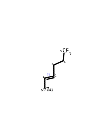 CCCC/C=C/CCC(F)(F)F